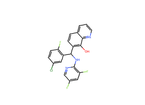 Oc1c(C(Nc2ncc(F)cc2F)c2cc(Cl)ccc2F)ccc2cccnc12